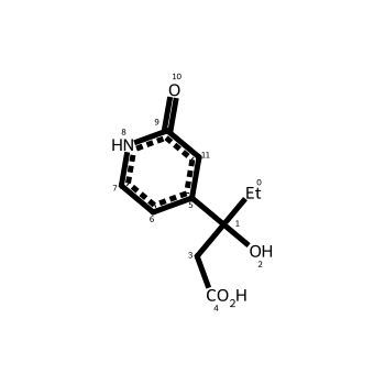 CCC(O)(CC(=O)O)c1cc[nH]c(=O)c1